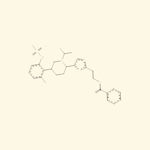 Cc1cccc(NS(C)(=O)=O)c1C1CCC(c2c[nH]c(CCNC(=O)c3ccccc3)n2)N(C(C)C)C1